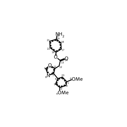 COc1cc(OC)cc(-c2ncoc2CC(=O)Oc2ccc(N)cc2)c1